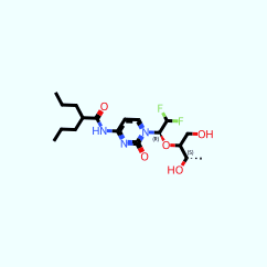 CCCC(CCC)C(=O)Nc1ccn([C@H](OC(CO)[C@H](C)O)C(F)F)c(=O)n1